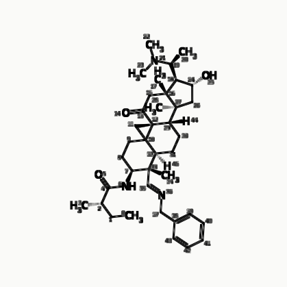 CC[C@H](C)C(=O)N[C@H]1CCC23C[C@]24C(=O)C[C@]2(C)[C@@H]([C@H](C)N(C)C)[C@H](O)C[C@@]2(C)[C@@H]4CC[C@H]3[C@]1(C)/C=N/Cc1ccccc1